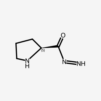 N=NC(=O)[C@@H]1CCCN1